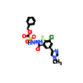 Cn1cnc(-c2cc(Cl)c(F)c(C(=O)NNS(=O)(=O)C(=O)OCc3ccccc3)c2)c1